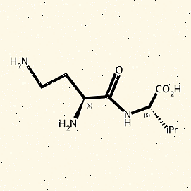 CC(C)[C@H](NC(=O)[C@@H](N)CCN)C(=O)O